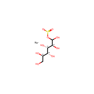 O=S([O-])OC(O)[C@@H](O)[C@@H](O)[C@H](O)[C@H](O)CO.[Na+]